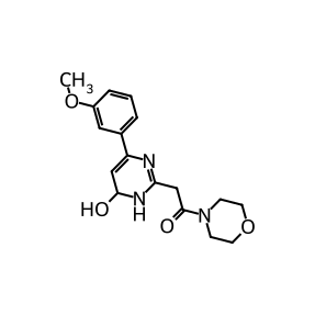 COc1cccc(C2=CC(O)NC(CC(=O)N3CCOCC3)=N2)c1